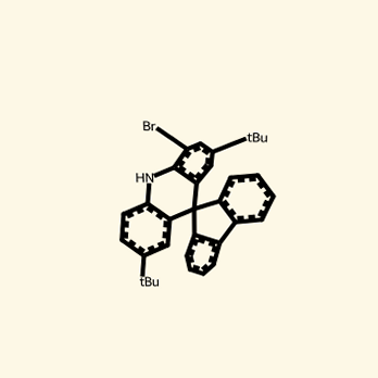 CC(C)(C)c1ccc2c(c1)C1(c3ccccc3-c3ccccc31)c1cc(C(C)(C)C)cc(Br)c1N2